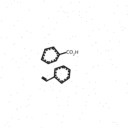 C=Cc1ccccc1.O=C(O)c1ccccc1